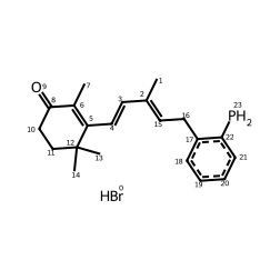 Br.CC(C=CC1=C(C)C(=O)CCC1(C)C)=CCc1ccccc1P